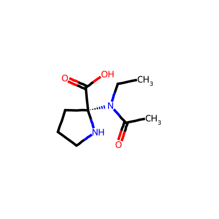 CCN(C(C)=O)[C@@]1(C(=O)O)CCCN1